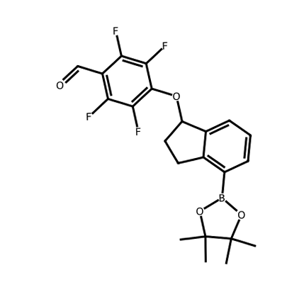 CC1(C)OB(c2cccc3c2CCC3Oc2c(F)c(F)c(C=O)c(F)c2F)OC1(C)C